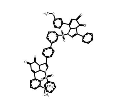 COc1cccc(C2=CC(=O)C(=O)C3C(c4ccccc4)=CN(S(=O)(=O)c4cccc(-c5ccc(C6=CN(S(=O)(=O)c7ccccc7)C7C(c8cccc(N(C)C)c8)=CC(=O)C(=O)C67)cc5)c4)C23)c1